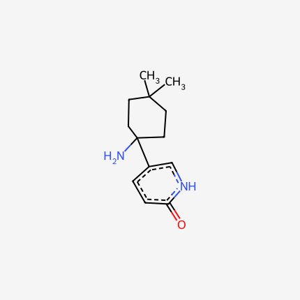 CC1(C)CCC(N)(c2ccc(=O)[nH]c2)CC1